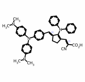 [C-]#[N+]/C(=C\C1=C(N(c2ccccc2)c2ccccc2)C(=C/c2ccc(N(c3ccc(N(C)C)cc3)c3ccc(N(C)C)cc3)cc2)/CC1)C(=O)O